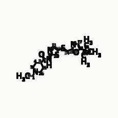 CCN1CCC(C(=O)Nc2ncc(SCc3ncc(C(C)(C)C)o3)s2)CC1